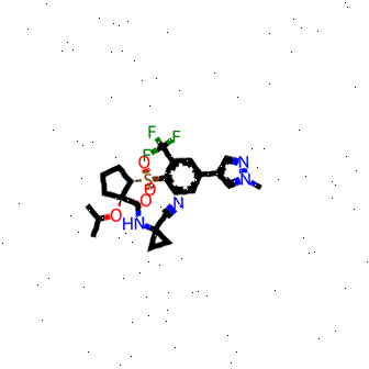 CC(C)O[C@]1(C(=O)NC2(C#N)CC2)CCC[C@@H]1S(=O)(=O)c1ccc(-c2cnn(C)c2)cc1C(F)(F)F